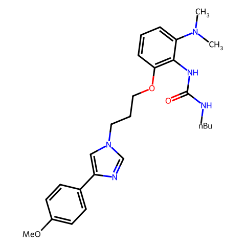 CCCCNC(=O)Nc1c(OCCCn2cnc(-c3ccc(OC)cc3)c2)cccc1N(C)C